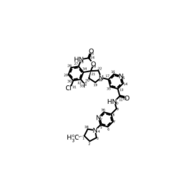 C[C@H]1CCN(c2ccc(CNC(=O)c3cncc(N4CC[C@]5(C4)OC(=O)Nc4ccc(Cl)c(F)c45)c3)cn2)C1